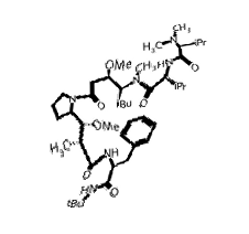 CC[C@H](C)[C@@H]([C@@H](CC(=O)N1CCCC1[C@H](OC)[C@@H](C)C(=O)N[C@@H](Cc1ccccc1)C(=O)NC(C)(C)C)OC)N(C)C(=O)[C@@H](NC(=O)[C@H](C(C)C)N(C)C)C(C)C